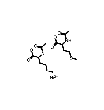 CSCCC(NC(C)=O)C(=O)[O-].CSCCC(NC(C)=O)C(=O)[O-].[Ni+2]